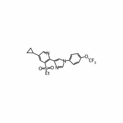 CCS(=O)(=O)c1cc(C2CC2)cnc1-c1cn(-c2ccc(OC(F)(F)F)cc2)cn1